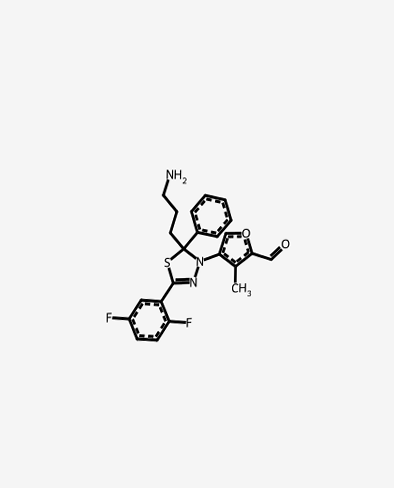 Cc1c(N2N=C(c3cc(F)ccc3F)SC2(CCCN)c2ccccc2)coc1C=O